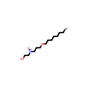 CC(C)CCCCCCCOCCC[NH+]([O-])CCO